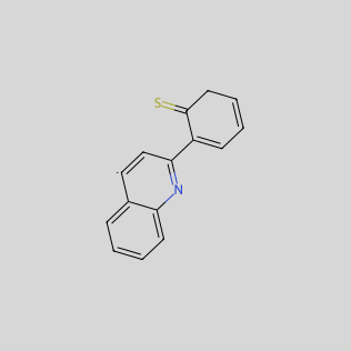 S=C1CC=CC=C1c1c[c]c2ccccc2n1